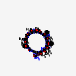 CCCC[C@H]1C(=O)N(C)[C@@H](CCCC)C(=O)N[C@@H](CC(C)C)C(=O)N[C@H](C(=O)NCC(N)=O)CCCNCC(=O)N[C@@H](Cc2ccccc2)C(=O)N(C)[C@@H](C)C(=O)NC(CC(C)C)C(=O)N2CCC[C@H]2C(=O)N[C@@H](CC(C)C)C(=O)N[C@@H](CC(C)C)C(=O)N2CCC[C@H]2C(=O)N[C@@H](Cc2c[nH]c3ccccc23)C(=O)N[C@@H](CC(C)C)C(=O)N[C@@H](Cc2c[nH]c3ccccc23)C(=O)N1C